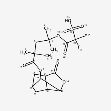 CC(C)(CC(C)(C)C(=O)OC1C2CC3C(=O)OC1C3C2)OC(=O)C(F)(F)S(=O)(=O)O